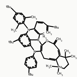 C=C1/C=C2\C(=C/CC3=C(O1)B1C(C)=C(/C=C\C(=C)C(C)(C)C)N(c4c(C)cc(C(C)(C)C)cc4C)c4cc(C(C)(C)C)cc(c41)N3c1ccc(C(C)(C)C)cc1)[PH](C)(C)CCC2(C)C